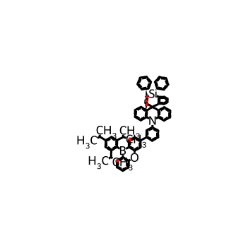 CC(C)c1cc(C(C)C)c(B2c3ccccc3Oc3cc(-c4cccc(N5c6ccccc6C6(c7ccccc75)c5ccccc5[Si](c5ccccc5)(c5ccccc5)c5ccccc56)c4)ccc32)c(C(C)C)c1